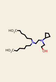 O=C(O)CCCCCN(CCCCCC(=O)O)CCN(CCO)C1CCC1